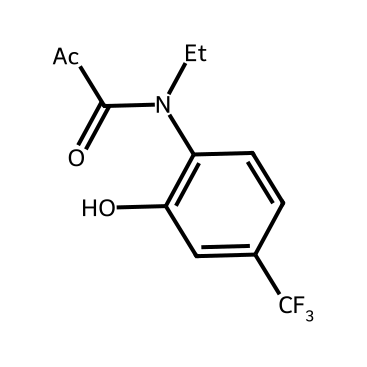 CCN(C(=O)C(C)=O)c1ccc(C(F)(F)F)cc1O